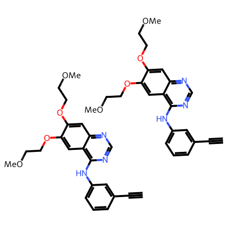 C#Cc1cccc(Nc2ncnc3cc(OCCOC)c(OCCOC)cc23)c1.C#Cc1cccc(Nc2ncnc3cc(OCCOC)c(OCCOC)cc23)c1